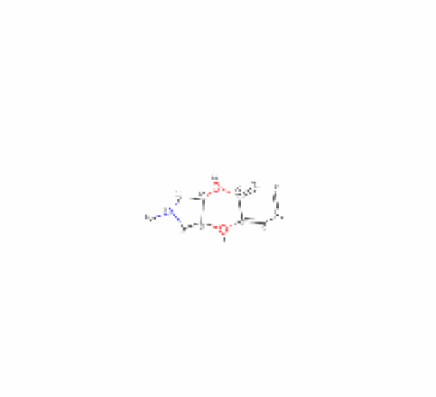 CN1CC2Oc3ccccc3OC2C1